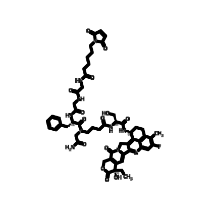 CC[C@@]1(O)C(=O)OCc2c1cc1n(c2=O)Cc2c-1nc1cc(F)c(C)c3c1c2[C@@H](NC(=O)[C@H](CO)NC(=O)CCCN(CC(N)=O)C(=O)[C@H](Cc1ccccc1)NC(=O)CNC(=O)CNC(=O)CCCCCN1C(=O)C=CC1=O)CC3